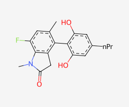 CCCc1cc(O)c(-c2c(C)cc(F)c3c2CC(=O)N3C)c(O)c1